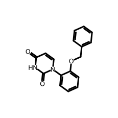 O=c1ccn(-c2ccccc2OCc2ccccc2)c(=O)[nH]1